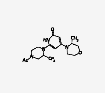 CC(=O)N1CCN(c2cc(N3CCOC[C@H]3C)cc(=O)[nH]2)C(C(F)(F)F)C1